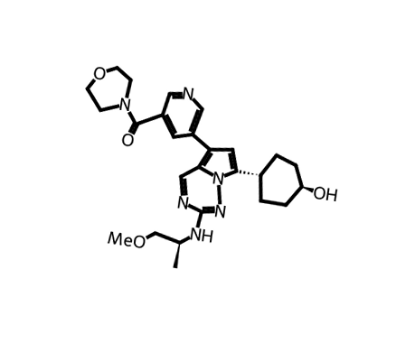 COC[C@H](C)Nc1ncc2c(-c3cncc(C(=O)N4CCOCC4)c3)cc([C@H]3CC[C@H](O)CC3)n2n1